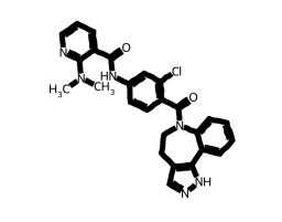 CN(C)c1ncccc1C(=O)Nc1ccc(C(=O)N2CCc3cn[nH]c3-c3ccccc32)c(Cl)c1